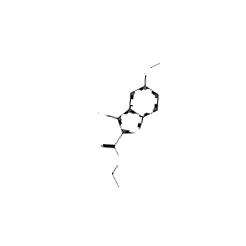 CCOC(=O)c1oc2ccc(SC)cc2c1O